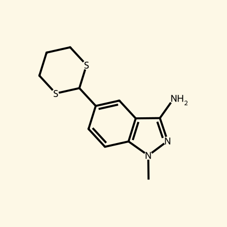 Cn1nc(N)c2cc(C3SCCCS3)ccc21